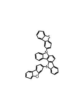 c1ccc2c(c1)oc1cc(-n3c4ccccc4c4ccc5c(c6ccccc6n5-c5ccc6sc7ccccc7c6c5)c43)ccc12